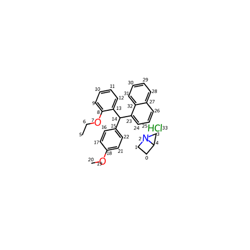 C1CN2CC12.CCOc1ccccc1C(c1ccc(OC)cc1)c1cccc2ccccc12.Cl